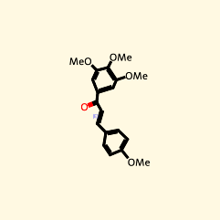 COc1ccc(/C=C/C(=O)c2cc(OC)c(OC)c(OC)c2)cc1